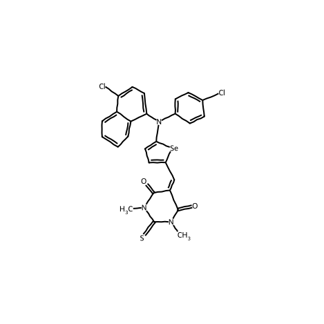 CN1C(=O)C(=Cc2ccc(N(c3ccc(Cl)cc3)c3ccc(Cl)c4ccccc34)[se]2)C(=O)N(C)C1=S